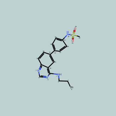 CC(C)CCNc1ncnc2ccc(-c3ccc(NS(C)(=O)=O)cc3)cc12